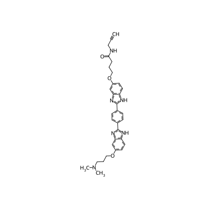 C#CCNC(=O)CCCOc1ccc2[nH]c(-c3ccc(-c4nc5cc(OCCCN(C)C)ccc5[nH]4)cc3)nc2c1